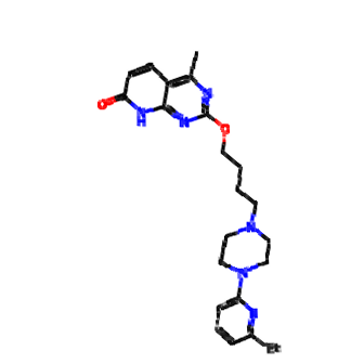 CCc1cccc(N2CCN(CCCCOc3nc(C)c4ccc(=O)[nH]c4n3)CC2)n1